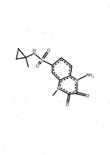 Cn1c(=O)c(=O)n(N)c2ccc(S(=O)(=O)NC3(C)CC3)cc21